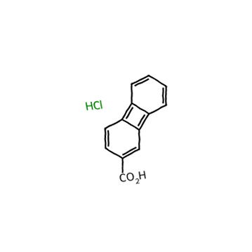 Cl.O=C(O)c1ccc2c(c1)=c1ccccc1=2